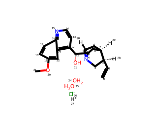 C=C[C@H]1CN2CC[C@@H]1C[C@H]2[C@H](O)c1ccnc2ccc(OC)cc12.O.O.[Cl-].[H+]